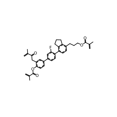 C=C(C)C(=O)Cc1cc(-c2ccc(-c3ccc(CCCOC(=O)C(=C)C)c4c3CCC4)c(F)c2)ccc1OC(=O)C(=C)C